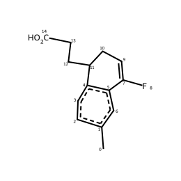 Cc1ccc2c(c1)C(F)=CCC2CCC(=O)O